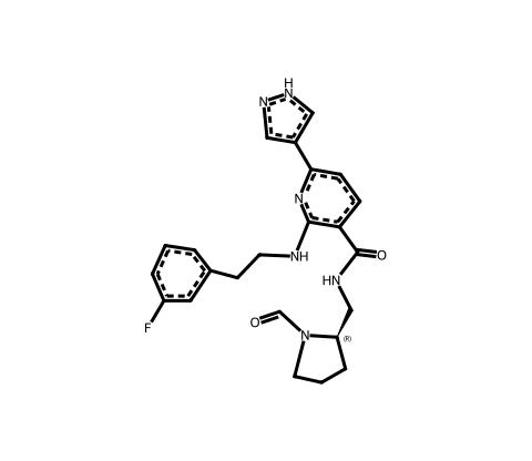 O=CN1CCC[C@@H]1CNC(=O)c1ccc(-c2cn[nH]c2)nc1NCCc1cccc(F)c1